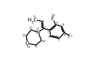 C/C=C(/c1ccc(F)cc1F)N1CCOCC1